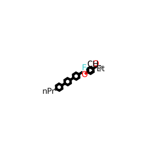 CCCC1CCC(C2CCC(C3CCC(COc4ccc(C(=O)CC)c(C)c4F)CC3)CC2)CC1